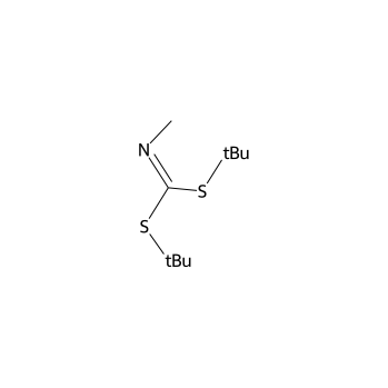 CN=C(SC(C)(C)C)SC(C)(C)C